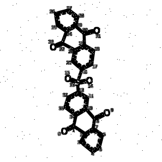 O=C1c2ccccc2C(=O)c2cc(S(=O)(=O)c3ccc4c(c3)C(=O)c3ccccc3C4=O)ccc21